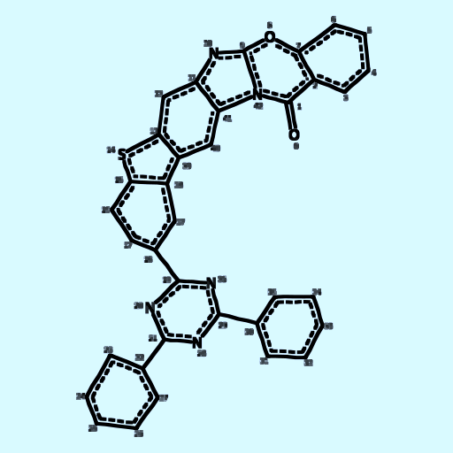 O=c1c2ccccc2oc2nc3cc4sc5ccc(-c6nc(-c7ccccc7)nc(-c7ccccc7)n6)cc5c4cc3n12